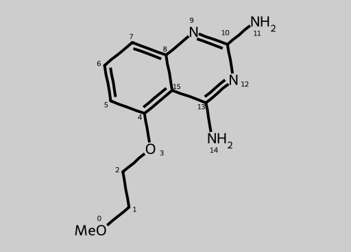 COCCOc1cccc2nc(N)nc(N)c12